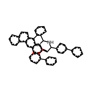 C1=C(c2ccccc2-c2ccccc2)NC(c2ccccc2-c2c3ccccc3cc3c2ccc2ccccc23)NC1c1ccc(-c2ccccc2)cc1